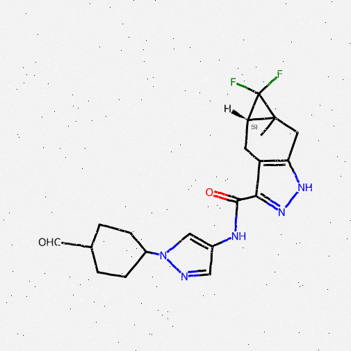 CC12Cc3[nH]nc(C(=O)Nc4cnn(C5CCC(C=O)CC5)c4)c3C[C@@H]1C2(F)F